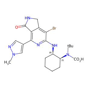 Cn1cc(-c2nc(N[C@@H]3CCCC[C@@H]3N(C(=O)O)C(C)(C)C)c(Br)c3c2C(=O)NC3)cn1